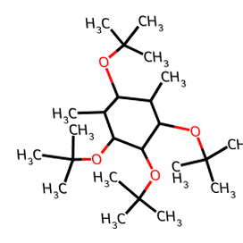 CC1C(OC(C)(C)C)C(C)C(OC(C)(C)C)C(OC(C)(C)C)C1OC(C)(C)C